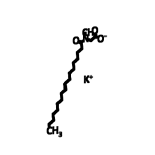 CCCCCCCCC=CCCCCCCCC(=O)N(C)CC(=O)[O-].[K+]